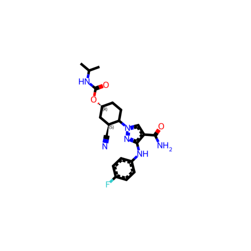 CC(C)NC(=O)O[C@@H]1CCC(n2cc(C(N)=O)c(Nc3ccc(F)cc3)n2)[C@@H](C#N)C1